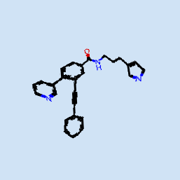 O=C(NCCCC1=CCN=C1)c1ccc(-c2cccnc2)c(C#Cc2ccccc2)c1